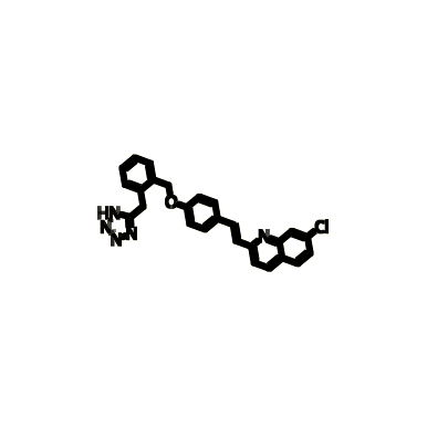 Clc1ccc2ccc(C=Cc3ccc(OCc4ccccc4Cc4nnn[nH]4)cc3)nc2c1